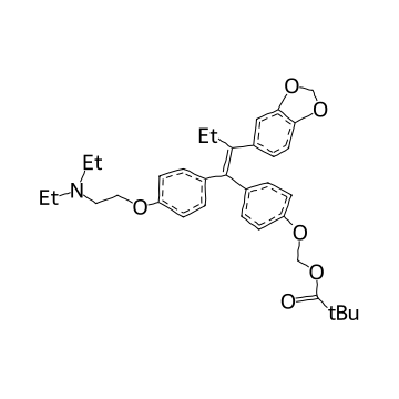 CCC(=C(c1ccc(OCCN(CC)CC)cc1)c1ccc(OCOC(=O)C(C)(C)C)cc1)c1ccc2c(c1)OCO2